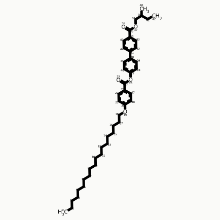 CCCCCCCCCCCCCCCCCCCOc1ccc(C(=O)Oc2ccc(-c3ccc(C(=O)OCC(C)CC)cc3)cc2)cc1